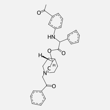 CC(=O)c1cccc(NC(C(=O)O[C@H]2C[N+]3(CC(=O)c4ccccc4)CCC2CC3)c2ccccc2)c1